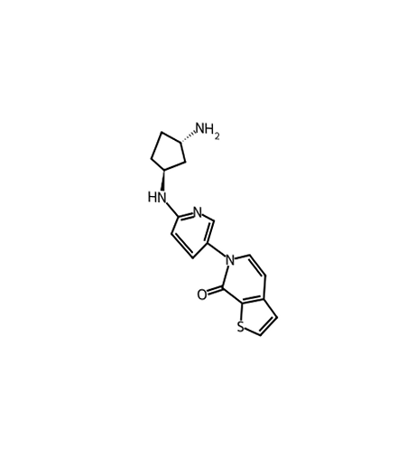 N[C@H]1CC[C@H](Nc2ccc(-n3ccc4ccsc4c3=O)cn2)C1